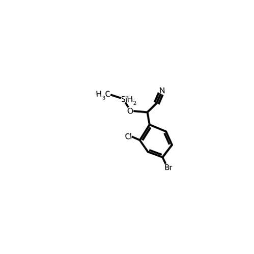 C[SiH2]OC(C#N)c1ccc(Br)cc1Cl